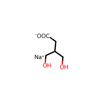 O=C([O-])CC(CO)CO.[Na+]